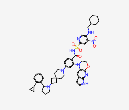 O=C(NS(=O)(=O)c1cc([N+](=O)[O-])c(NCC2CCCCC2)cn1)c1ccc(N2CCC3(CC2)CC(N2CCCC2c2ccccc2C2CC2)C3)cc1N1CCOc2nc3[nH]ccc3cc21